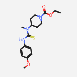 CCOC(=O)N1CCC(N(C)C(=S)Nc2ccc(OC)cc2)CC1